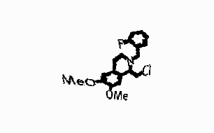 COc1cc2c(cc1OC)C(CCl)N(Cc1ccccc1F)CC2